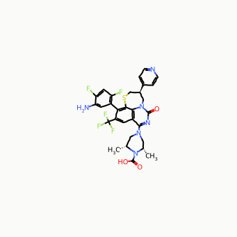 C[C@@H]1CN(c2nc(=O)n3c4c(c(-c5cc(N)c(F)cc5F)c(C(F)(F)F)cc24)SC[C@@H](c2ccncc2)C3)C[C@H](C)N1C(=O)O